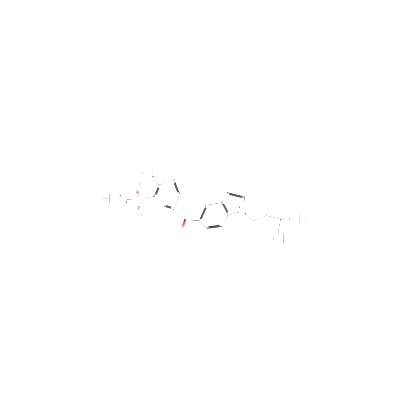 CC(C)CCn1ccc2cc(C(=O)c3ccc(Cl)c(S(N)(=O)=O)c3)ccc21